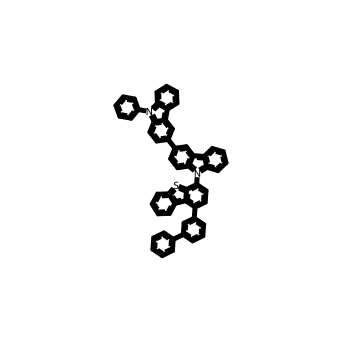 c1ccc(-c2cccc(-c3ccc(-n4c5ccccc5c5cc(-c6ccc7c(c6)c6ccccc6n7-c6ccccc6)ccc54)c4sc5ccccc5c34)c2)cc1